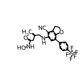 C=C(CNc1cc(-c2ccc(S(F)(F)(F)(F)F)cc2)c2c(c1C#N)CCO2)CC(=O)NO